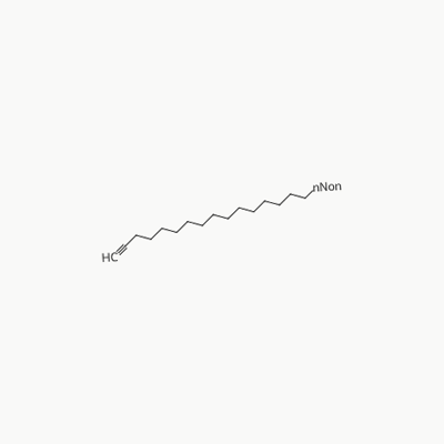 C#CCCCCCCCCCCCCCCCCCCCCCCC